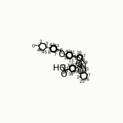 C[C@H]1CC[C@H](c2ccc(COc3ccc(-c4ccc(CN(CC5CCCCC5)S(=O)(=O)c5ccc(C(=O)O)cc5)s4)cc3)cc2)CC1